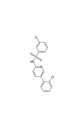 O=S(=O)(Nc1ccc(-c2ccccc2Cl)cn1)c1cccc(Cl)c1